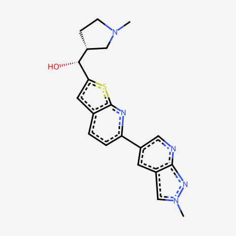 CN1CC[C@@H]([C@@H](O)c2cc3ccc(-c4cnc5nn(C)cc5c4)nc3s2)C1